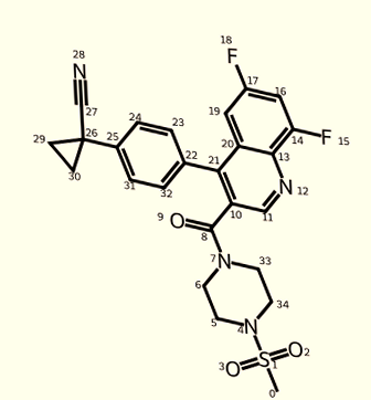 CS(=O)(=O)N1CCN(C(=O)c2cnc3c(F)cc(F)cc3c2-c2ccc(C3(C#N)CC3)cc2)CC1